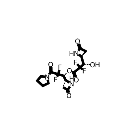 O=C1C[C@@H]([C@H](O)C(F)(F)C(=O)O[C@H]([C@H]2CC(=O)N2)C(F)(F)C(=O)N2CCCC2)N1